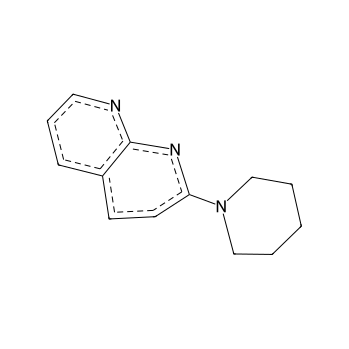 c1cnc2nc(N3CCCCC3)ccc2c1